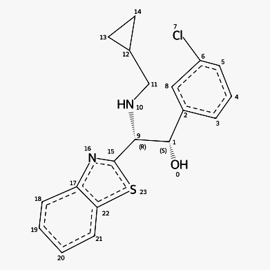 O[C@@H](c1cccc(Cl)c1)[C@@H](NCC1CC1)c1nc2ccccc2s1